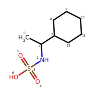 CC(NS(=O)(=O)O)C1CCCCC1